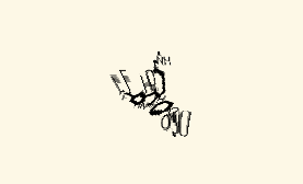 CNC[C@H]1CC[C@@H]2[C@H](O1)c1cc(C(F)(F)F)ccc1N[C@H]2C1C=CC(OS(C)(=O)=O)=CC1